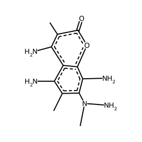 Cc1c(N(C)N)c(N)c2oc(=O)c(C)c(N)c2c1N